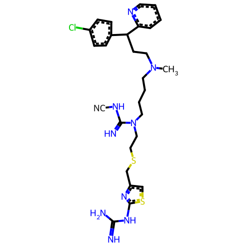 CN(CCCCN(CCSCc1csc(NC(=N)N)n1)C(=N)NC#N)CCC(c1ccc(Cl)cc1)c1ccccn1